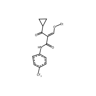 CCOC=C(C(=O)Nc1ccc(C(F)(F)F)cc1)C(=O)C1CC1